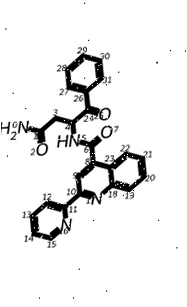 NC(=O)CC(NC(=O)c1cc(-c2ccccn2)nc2ccccc12)C(=O)c1ccccc1